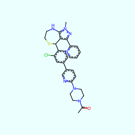 CC(=O)N1CCN(c2ccc(-c3ccc(C4SCCNc5c4c(-c4ccccn4)nn5C)c(Cl)c3)cn2)CC1